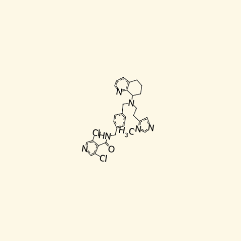 Cn1cncc1CCN(Cc1ccc(CNC(=O)c2c(Cl)cncc2Cl)cc1)C1CCCc2cccnc21